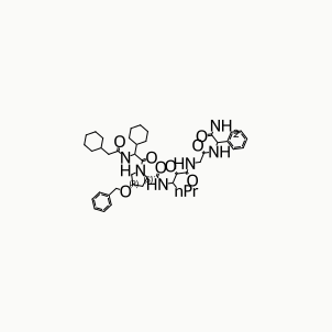 CCCC(NC(=O)[C@@H]1C[C@@H](OCc2ccccc2)CN1C(=O)C(NC(=O)CC1CCCCC1)C1CCCCC1)C(=O)C(=O)NCC(=O)NC(C(N)=O)c1ccccc1